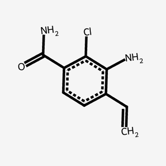 C=Cc1ccc(C(N)=O)c(Cl)c1N